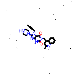 CC#CCn1c(N2CCNCC2)nc2c1c(=O)n(Cc1cc(C)nc3ccccc13)c(=O)n2C